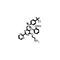 CCC(C)(C)c1ccc(S(=O)(=O)Cc2nc(-c3ncccn3)nc(OCCN)c2Oc2ccccc2OC)cc1